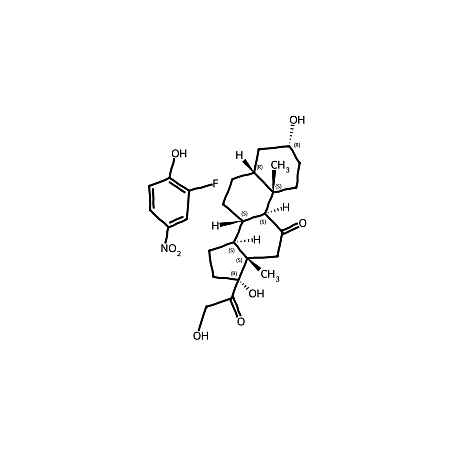 C[C@]12CC[C@@H](O)C[C@H]1CC[C@@H]1[C@@H]2C(=O)C[C@@]2(C)[C@H]1CC[C@]2(O)C(=O)CO.O=[N+]([O-])c1ccc(O)c(F)c1